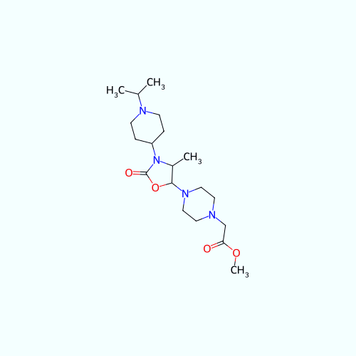 COC(=O)CN1CCN(C2OC(=O)N(C3CCN(C(C)C)CC3)C2C)CC1